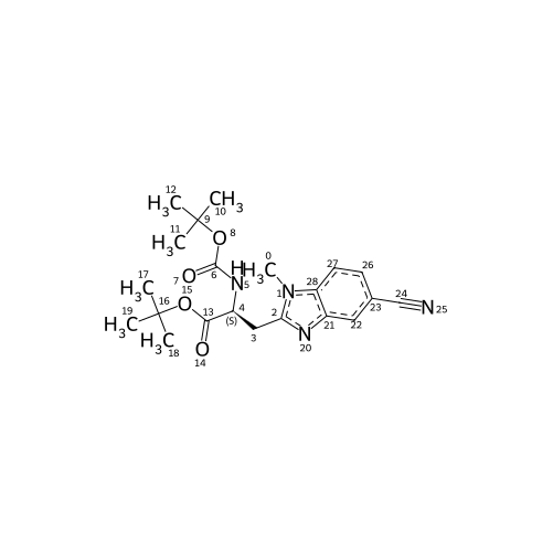 Cn1c(C[C@H](NC(=O)OC(C)(C)C)C(=O)OC(C)(C)C)nc2cc(C#N)ccc21